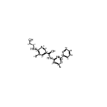 Cc1nc(NC(=O)c2cnc(NCCO)c(I)c2)nc(-c2ccccn2)n1